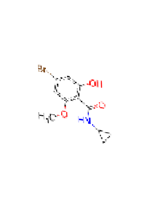 COc1cc(Br)cc(O)c1C(=O)NC1CC1